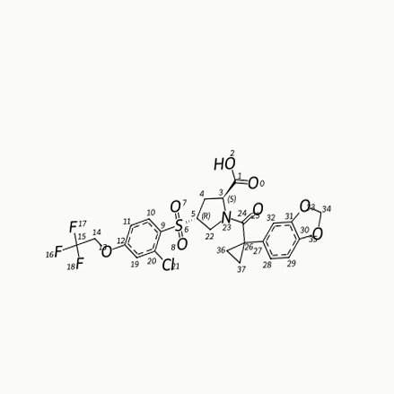 O=C(O)[C@@H]1C[C@@H](S(=O)(=O)c2ccc(OCC(F)(F)F)cc2Cl)CN1C(=O)C1(c2ccc3c(c2)OCO3)CC1